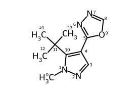 Cn1ncc(-c2nnco2)c1C(C)(C)C